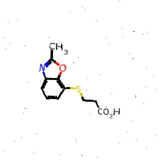 Cc1nc2cccc(SCCC(=O)O)c2o1